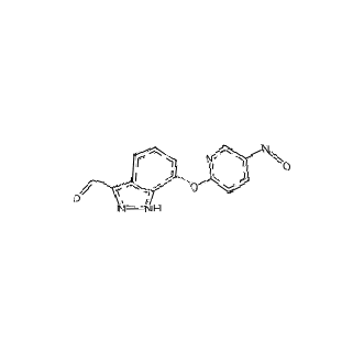 O=Cc1n[nH]c2c(Oc3ccc(N=O)cn3)cccc12